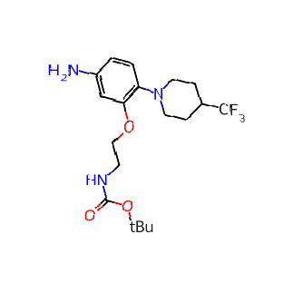 CC(C)(C)OC(=O)NCCOc1cc(N)ccc1N1CCC(C(F)(F)F)CC1